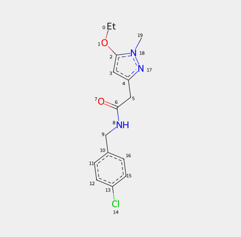 CCOc1cc(CC(=O)NCc2ccc(Cl)cc2)nn1C